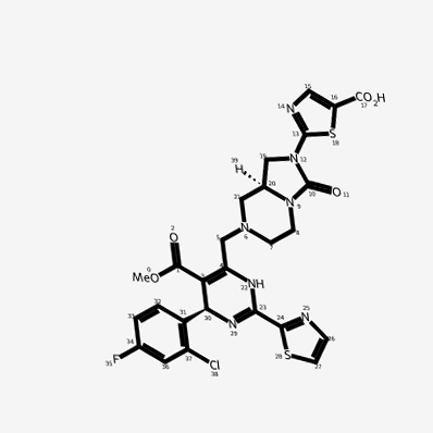 COC(=O)C1=C(CN2CCN3C(=O)N(c4ncc(C(=O)O)s4)C[C@@H]3C2)NC(c2nccs2)=N[C@H]1c1ccc(F)cc1Cl